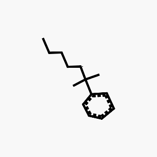 CCCC[CH]C(C)(C)c1ccccc1